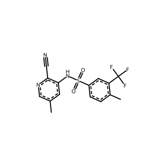 Cc1cnc(C#N)c(NS(=O)(=O)c2ccc(C)c(C(F)(F)F)c2)c1